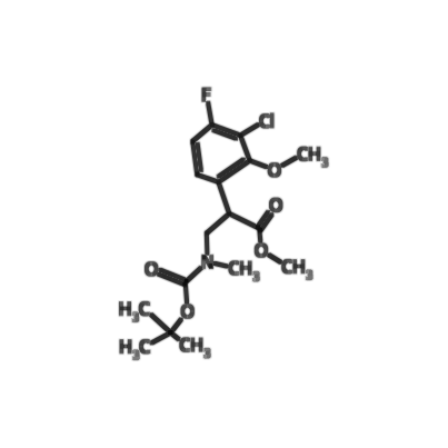 COC(=O)C(CN(C)C(=O)OC(C)(C)C)c1ccc(F)c(Cl)c1OC